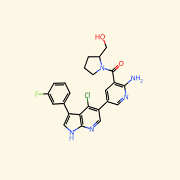 Nc1ncc(-c2cnc3[nH]cc(-c4cccc(F)c4)c3c2Cl)cc1C(=O)N1CCCC1CO